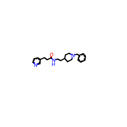 O=C(CCc1cccnc1)NCCC1CCN(Cc2ccccc2)CC1